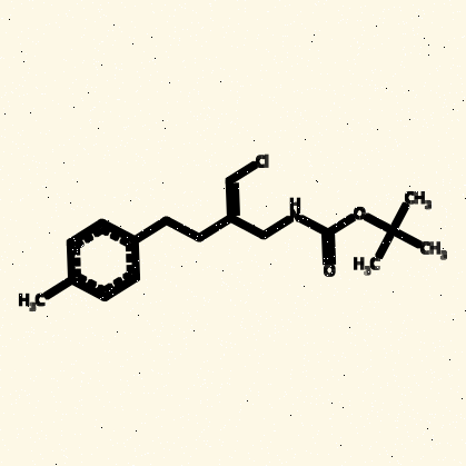 Cc1ccc(CCC(=CCl)CNC(=O)OC(C)(C)C)cc1